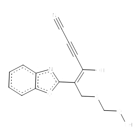 COCSC/C(=C(\O)C#CC#N)c1nc2ccccc2o1